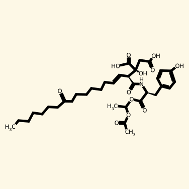 CCCCCCCC(=O)CCCCCC/C=C/[C@H](C(=O)N[C@@H](Cc1ccc(O)cc1)C(=O)OC(C)OC(C)=O)[C@@](O)(CC(=O)O)C(=O)O